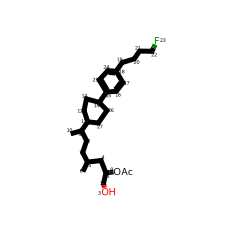 CC(=O)OC(CO)CC(C)CCC(C)C1CCC(c2ccc(CCCCF)cc2)CC1